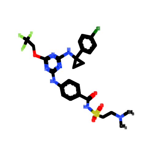 CN(C)CCS(=O)(=O)NC(=O)c1ccc(Nc2nc(NC3(c4ccc(Cl)cc4)CC3)nc(OCC(F)(F)F)n2)cc1